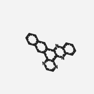 c1ccc2cc3c(cc2c1)c1nccnc1c1nc2ccccc2nc31